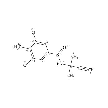 C#CC(C)(C)NC(=O)c1cc(Cl)c(C)c(Cl)c1